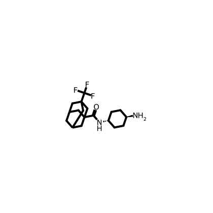 N[C@H]1CC[C@H](NC(=O)C23CC4CC(C2)CC(C(F)(F)F)(C4)C3)CC1